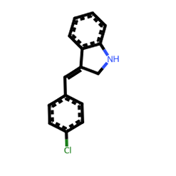 Clc1ccc(C=C2CNc3ccccc32)cc1